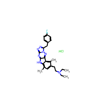 CCN(CC)CCc1cc(C)c2[nH]c3nc4nnc(Cc5ccc(F)cc5)n4nc3c2c1C.Cl